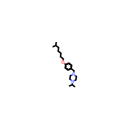 CC(C)CCCCCOc1ccc(CN2CCN(C(C)C)CC2)cc1